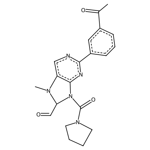 CC(=O)c1cccc(-c2ncc3c(n2)N(C(=O)N2CCCC2)C(C=O)N3C)c1